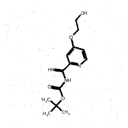 CC(C)(C)OC(=O)NC(=N)c1cc(OCCO)ccn1